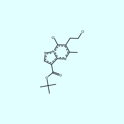 Cc1nc2c(C(=O)OC(C)(C)C)cnn2c(Cl)c1CCCl